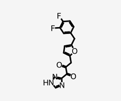 O=C(Cc1ccc(Cc2ccc(F)c(F)c2)o1)C(=O)c1nc[nH]n1